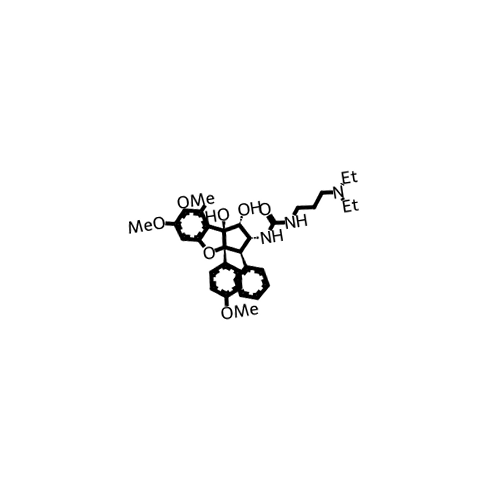 CCN(CC)CCCNC(=O)N[C@H]1[C@@H](O)[C@@]2(O)c3c(OC)cc(OC)cc3O[C@@]2(c2ccc(OC)cc2)[C@@H]1c1ccccc1